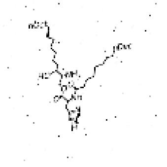 CCCCCCCC/C=C/CCCCCC(O)C(N)COC(=O)C(Cc1c[nH]cn1)NC(=O)CCCCCCCCCCCCCCCCC